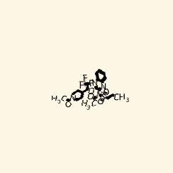 CCCS(=O)(=O)N(C(C)=O)c1nc2ccccc2nc1OC(C1CCN(C(C)=O)CC1)C(F)(F)F